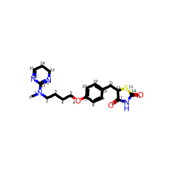 CN(CCCCOc1ccc(CC2SC(=O)NC2=O)cc1)C1=NCCC=N1